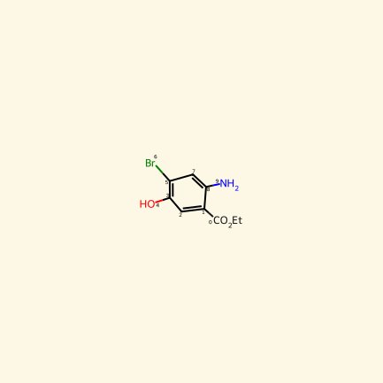 CCOC(=O)c1cc(O)c(Br)cc1N